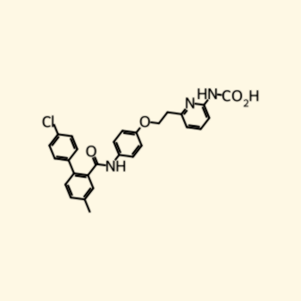 Cc1ccc(-c2ccc(Cl)cc2)c(C(=O)Nc2ccc(OCCc3cccc(NC(=O)O)n3)cc2)c1